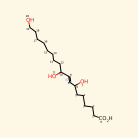 O=C(O)CCCCCC(O)/C=C/C(O)CCCCCCCCO